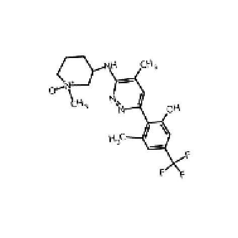 Cc1cc(-c2c(C)cc(C(F)(F)F)cc2O)nnc1NC1CCC[N+](C)([O-])C1